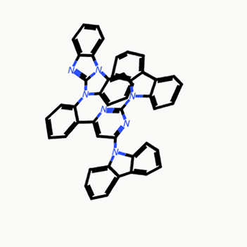 c1ccc(-n2c3ccccc3n3c4ccccc4nc23)c(-c2cc(-n3c4ccccc4c4ccccc43)nc(-n3c4ccccc4c4ccccc43)n2)c1